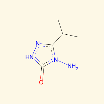 CC(C)c1n[nH]c(=O)n1N